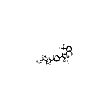 CC(C)c1noc(-c2ccc(-c3nc(-c4c(F)cccc4C(F)(F)F)[nH]c3N)cn2)n1